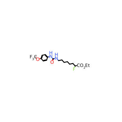 CCOC(=O)C(F)CCCCCCNC(=O)Nc1ccc(OC(F)(F)F)cc1